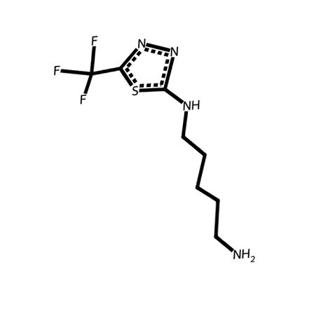 NCCCCCNc1nnc(C(F)(F)F)s1